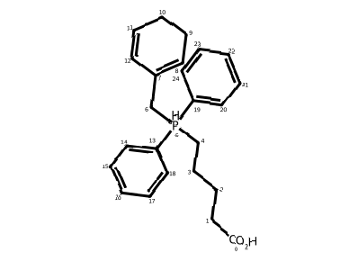 O=C(O)CCCC[PH](CC1=CCCC=C1)(c1ccccc1)c1ccccc1